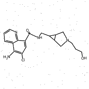 Nc1c(Cl)cc(C(=O)NCC2C3CN(CCCO)CC23)c2ncccc12